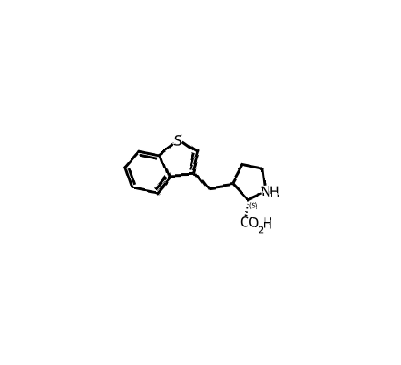 O=C(O)[C@H]1NCCC1Cc1csc2ccccc12